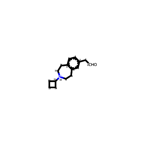 O=CCc1ccc2c(c1)CCN(C1CCC1)CC2